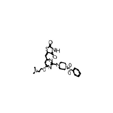 CN(C)CCOc1cc(/C=C2/SC(=O)NC2=O)nc(N2CCN(S(=O)(=O)c3ccccc3)CC2)n1